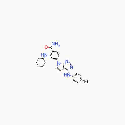 CCc1ccc(Nc2ncnc3c2ccn3-c2ccc(C(N)=O)c(NC3CCCCC3)c2)cc1